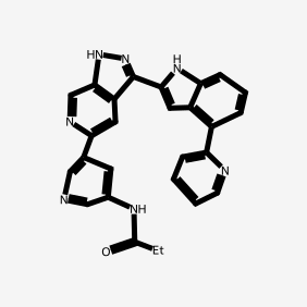 CCC(=O)Nc1cncc(-c2cc3c(-c4cc5c(-c6ccccn6)cccc5[nH]4)n[nH]c3cn2)c1